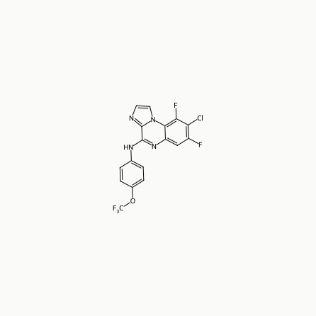 Fc1cc2nc(Nc3ccc(OC(F)(F)F)cc3)c3nccn3c2c(F)c1Cl